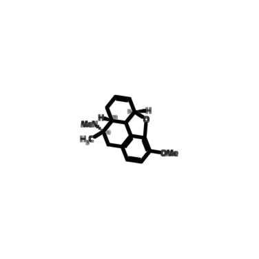 CN[C@@]1(C)Cc2ccc(OC)c3c2C2[C@H](C=CC[C@H]21)O3